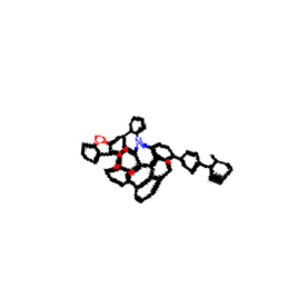 CC1C=CC=CC1c1ccc(-c2ccc(N(c3ccccc3-c3ccc4c(c3)oc3ccccc34)c3ccccc3-c3cccc4cccc(-c5ccccc5)c34)cc2)cc1